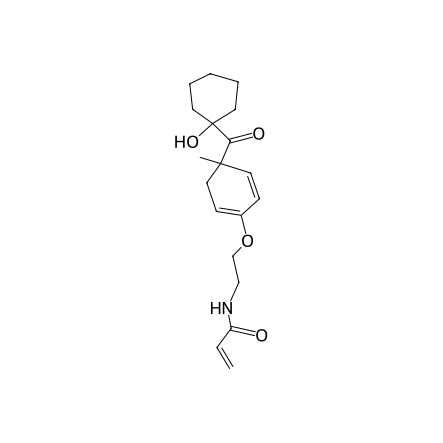 C=CC(=O)NCCOC1=CCC(C)(C(=O)C2(O)CCCCC2)C=C1